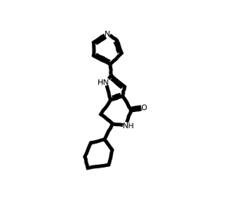 O=C1NC(C2CCCCC2)Cc2[nH]c(-c3ccncc3)cc21